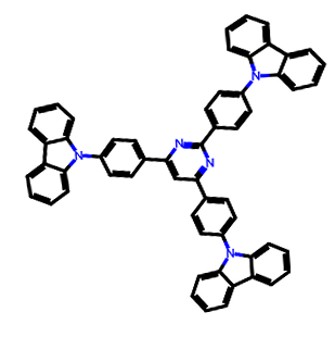 c1ccc2c(c1)c1ccccc1n2-c1ccc(-c2cc(-c3ccc(-n4c5ccccc5c5ccccc54)cc3)nc(-c3ccc(-n4c5ccccc5c5ccccc54)cc3)n2)cc1